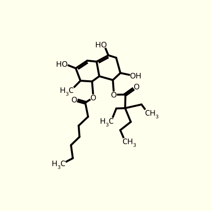 CCCCCCC(=O)OC1C(C)C(O)=CC2=C(O)CC(O)C(OC(=O)C(CC)(CC)CCC)C21